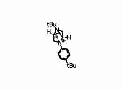 CC(C)(C)c1ccc(N2C[C@@H]3C[C@H]2CN3C(C)(C)C)cc1